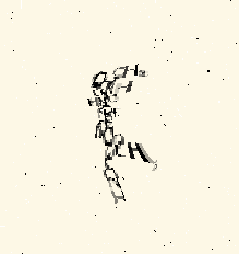 CC[C@@H](NC(=O)C(=O)Nc1cnc(Oc2ccnc3cc(OCC4CCNCC4)c(OC)cc23)c(F)c1)c1ccccc1